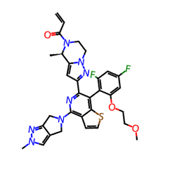 C=CC(=O)N1CCn2nc(-c3nc(N4Cc5cn(C)nc5C4)c4ccsc4c3-c3c(F)cc(F)cc3OCCOC)cc2[C@H]1C